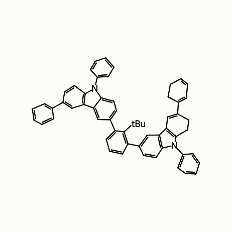 CC(C)(C)c1c(-c2ccc3c(c2)c2c(n3-c3ccccc3)CCC(C3=CC=CCC3)=C2)cccc1-c1ccc2c(c1)c1cc(-c3ccccc3)ccc1n2-c1ccccc1